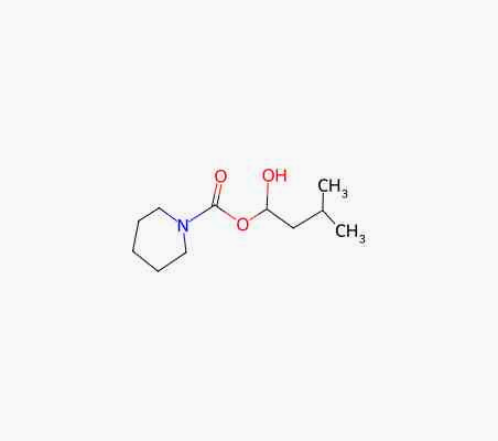 CC(C)CC(O)OC(=O)N1CCCCC1